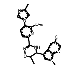 COc1nc(C2=NOC(C)C(c3cn(C)c4ncc(Cl)cc34)N2)ccc1-n1cnc(C)c1